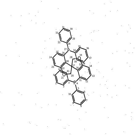 c1ccc(P(c2ccccc2)c2cccc3c2C2(CO3)COc3cccc(P(c4ccccc4)c4ccccc4)c32)cc1